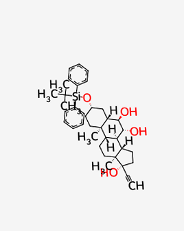 C#C[C@]1(O)CC[C@H]2[C@@H]3[C@@H](O)[C@H](O)[C@H]4C[C@@H](O[Si](c5ccccc5)(c5ccccc5)C(C)(C)C)CC[C@]4(C)[C@H]3CC[C@@]21C